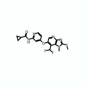 CSc1nc2ncc(Oc3ccnc(NC(=O)C4CC4)c3)c(C(F)F)c2n1C